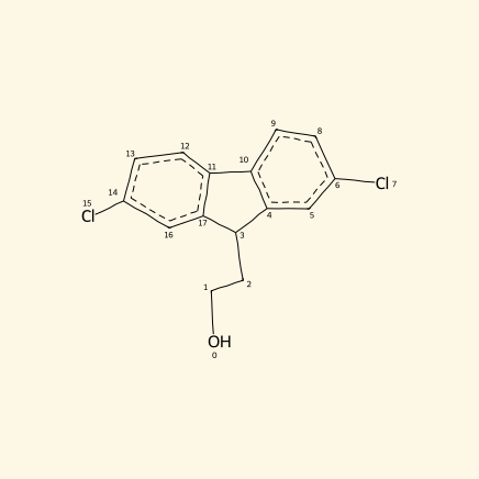 OCCC1c2cc(Cl)ccc2-c2ccc(Cl)cc21